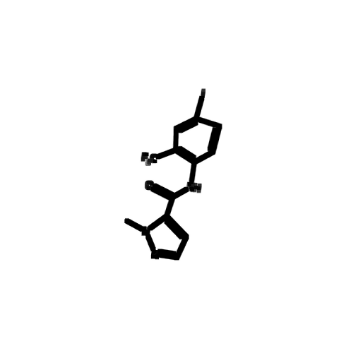 Cn1nccc1C(=O)Nc1ccc(I)cc1C(F)(F)F